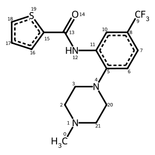 CN1CCN(c2ccc(C(F)(F)F)cc2NC(=O)c2cccs2)CC1